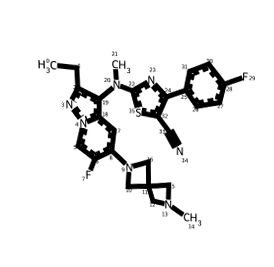 CCc1nn2cc(F)c(N3CC4(CN(C)C4)C3)cc2c1N(C)c1nc(-c2ccc(F)cc2)c(C#N)s1